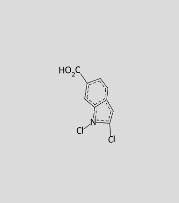 O=C(O)c1ccc2cc(Cl)n(Cl)c2c1